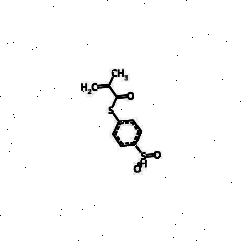 C=C(C)C(=O)Sc1ccc([SH](=O)=O)cc1